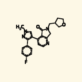 Cn1cc(-c2ccnc3c2C(=O)N(CC2CCOC2)C3)c(-c2ccc(F)cc2)n1